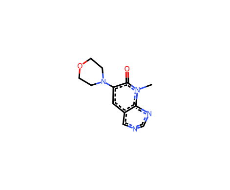 Cn1c(=O)c(N2CCOCC2)cc2cncnc21